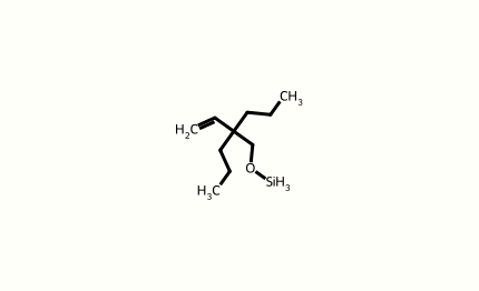 C=CC(CCC)(CCC)CO[SiH3]